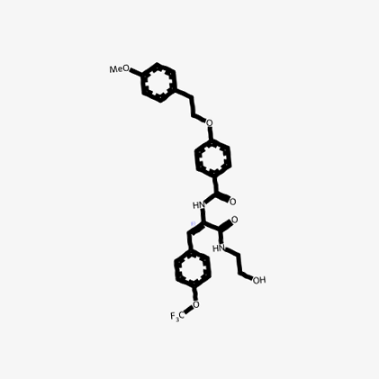 COc1ccc(CCOc2ccc(C(=O)N/C(=C/c3ccc(OC(F)(F)F)cc3)C(=O)NCCO)cc2)cc1